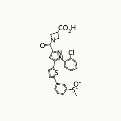 C[S+]([O-])c1cccc(-c2ccc(-c3cc(C(=O)N4CC(C(=O)O)C4)nn3-c3ccccc3Cl)s2)c1